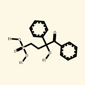 CCOC(CCP(=O)(OCC)OCC)(C(=O)c1ccccc1)c1ccccc1